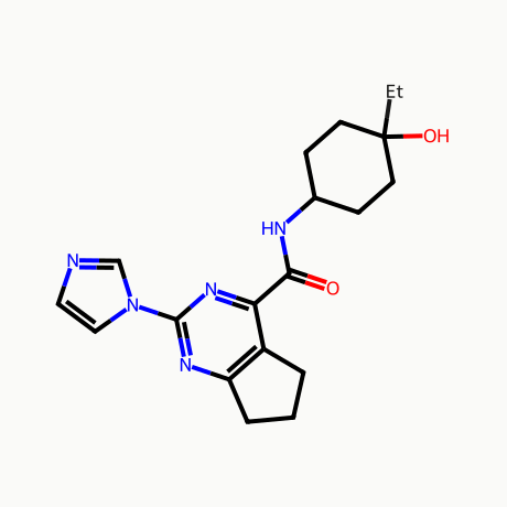 CCC1(O)CCC(NC(=O)c2nc(-n3ccnc3)nc3c2CCC3)CC1